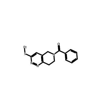 CCSc1cc2c(nn1)CCN(C(=O)c1ccccc1)C2